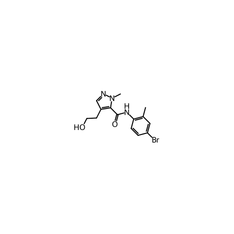 Cc1cc(Br)ccc1NC(=O)c1c(CCO)cnn1C